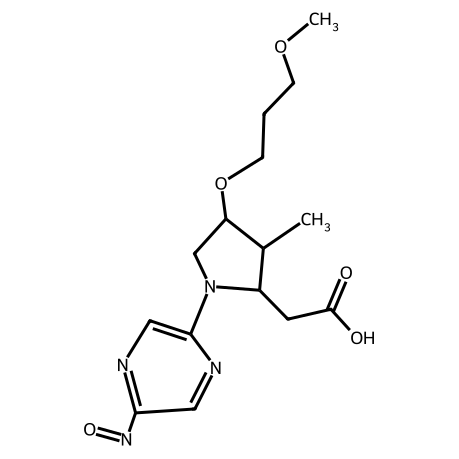 COCCCOC1CN(c2cnc(N=O)cn2)C(CC(=O)O)C1C